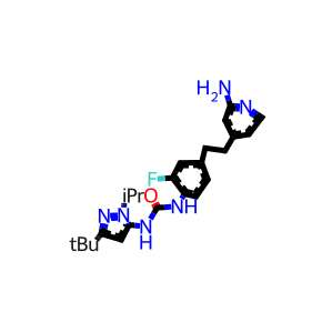 CC(C)n1nc(C(C)(C)C)cc1NC(=O)Nc1ccc(CCc2ccnc(N)c2)cc1F